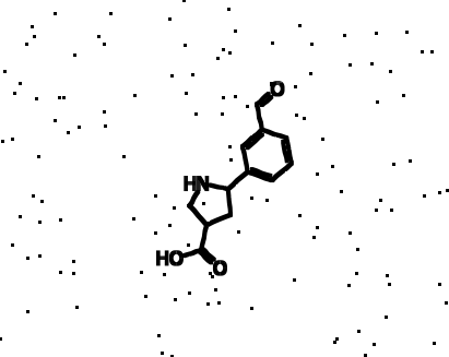 O=Cc1cccc(C2CC(C(=O)O)CN2)c1